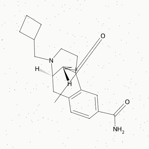 NC(=O)c1ccc2c(c1)C13CCN(CC4CCC4)[C@H](C2)[C@@H]1CCC(=O)C3